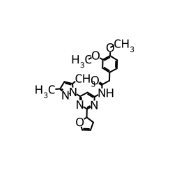 COc1ccc(CC(=O)Nc2cc(-n3nc(C)cc3C)nc(C3CC=CO3)n2)cc1OC